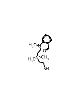 CN(CC[N+](C)(C)CCS)c1ccccc1C=O